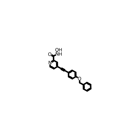 O=C(NO)c1cc(C#Cc2ccc(OCc3ccccc3)cc2)ccn1